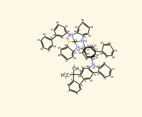 CC1(C)c2ccccc2-c2cc3c4ccccc4n(-c4cccc(N5c6ccccc6SC56N(c5cccc(-c7ccccc7)c5)c5ccccc5N6c5cccc(-c6ccccc6)c5)c4)c3cc21